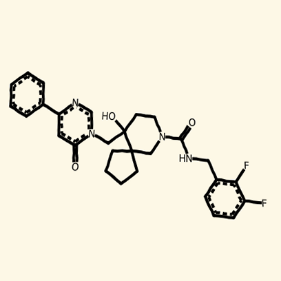 O=C(NCc1cccc(F)c1F)N1CCC(O)(Cn2cnc(-c3ccccc3)cc2=O)C2(CCCC2)C1